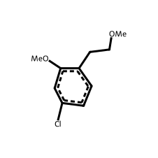 COCCc1ccc(Cl)cc1OC